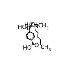 CCCCCCN(C)C.O=C(O)c1ccc(B(O)O)cc1